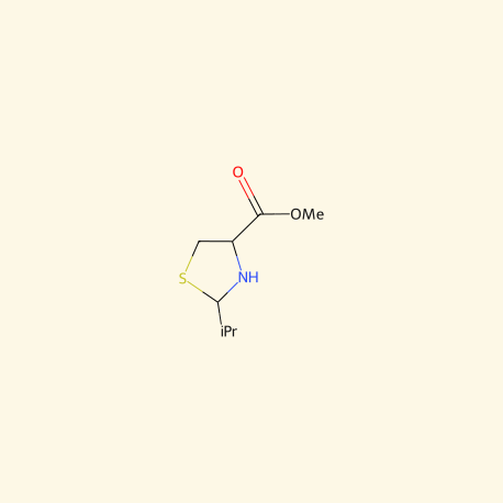 COC(=O)C1CSC(C(C)C)N1